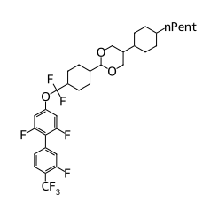 CCCCCC1CCC(C2COC(C3CCC(C(F)(F)Oc4cc(F)c(-c5ccc(C(F)(F)F)c(F)c5)c(F)c4)CC3)OC2)CC1